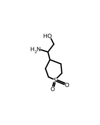 NC(CO)C1CCS(=O)(=O)CC1